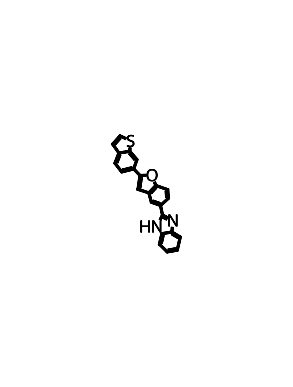 c1ccc2[nH]c(-c3ccc4oc(-c5ccc6ccsc6c5)cc4c3)nc2c1